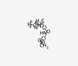 CC[C@H]1CN(c2ncc(C(F)(F)F)cn2)Cc2cc(C(=O)NCc3ccc(S(=O)(=O)CC)cc3)ccc21